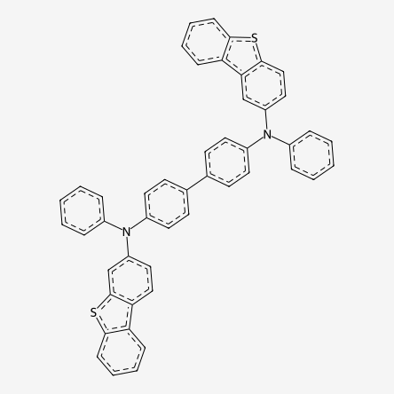 c1ccc(N(c2ccc(-c3ccc(N(c4ccccc4)c4ccc5sc6ccccc6c5c4)cc3)cc2)c2ccc3c(c2)sc2ccccc23)cc1